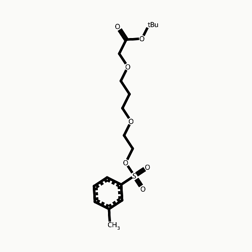 Cc1cccc(S(=O)(=O)OCCOCCCOCC(=O)OC(C)(C)C)c1